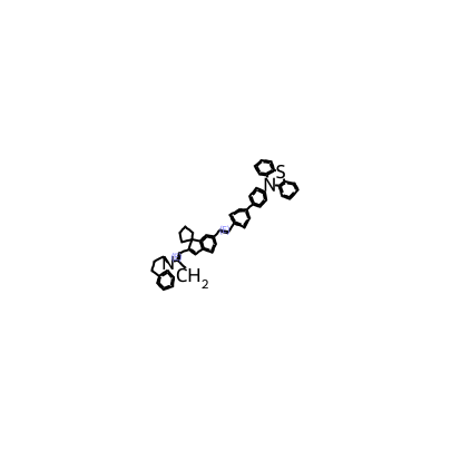 C=C/C(=C\C1=Cc2ccc(/C=C/c3ccc(-c4ccc(N5c6ccccc6Sc6ccccc65)cc4)cc3)cc2C12CCCC2)N1CCCc2ccccc21